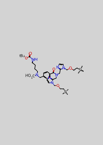 CC(C)(C)OC(=O)NCCCCN(Cc1ccc(C(=O)N(Cc2nccn2COCC[Si](C)(C)C)Cc2nccn2COCC[Si](C)(C)C)cc1)C(=O)O